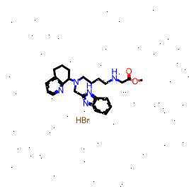 Br.COC(=O)CNCCCCN(Cc1nc2ccccc2[nH]1)C1CCCc2cccnc21